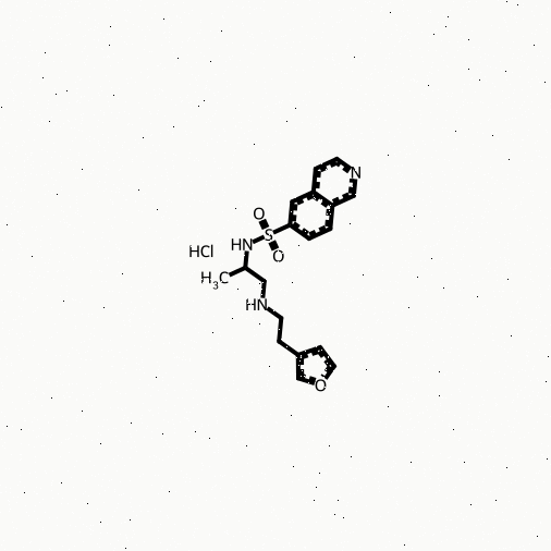 CC(CNCCc1ccoc1)NS(=O)(=O)c1ccc2cnccc2c1.Cl